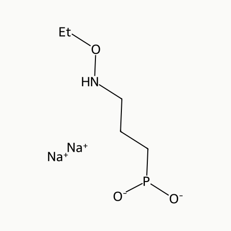 CCONCCCP([O-])[O-].[Na+].[Na+]